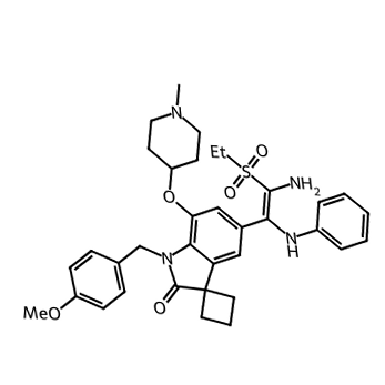 CCS(=O)(=O)/C(N)=C(/Nc1ccccc1)c1cc(OC2CCN(C)CC2)c2c(c1)C1(CCC1)C(=O)N2Cc1ccc(OC)cc1